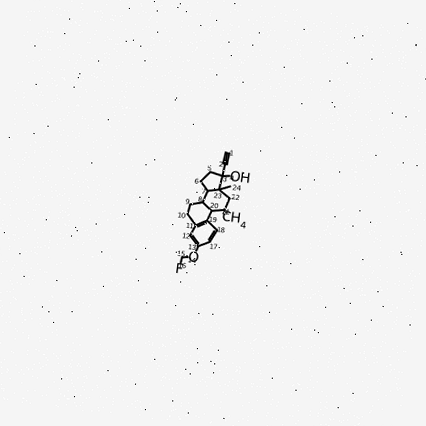 C.C#CC1(O)CCC2C3CCc4cc(OCF)ccc4C3CCC21C